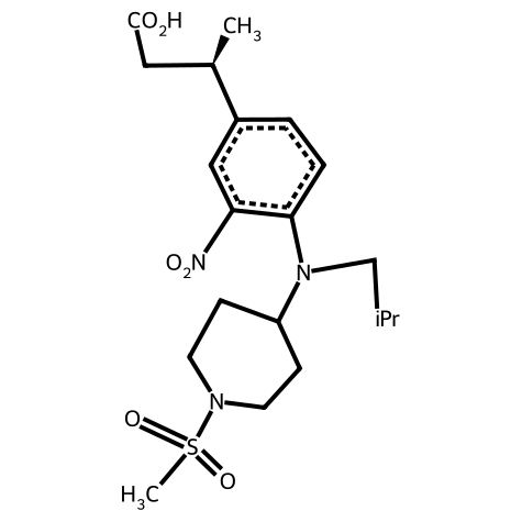 CC(C)CN(c1ccc([C@H](C)CC(=O)O)cc1[N+](=O)[O-])C1CCN(S(C)(=O)=O)CC1